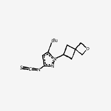 CC(C)(C)c1cc(N=C=S)nn1C1CC2(COC2)C1